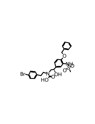 CS(=O)(=O)Nc1cc([C@@H](O)CN(CCc2ccc(Br)cc2)C(=O)O)ccc1OCc1ccccc1